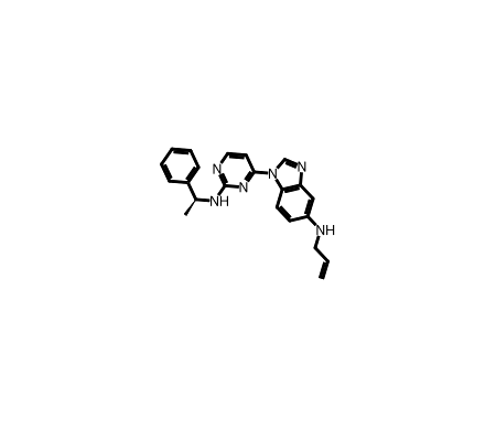 C=CCNc1ccc2c(c1)ncn2-c1ccnc(N[C@@H](C)c2ccccc2)n1